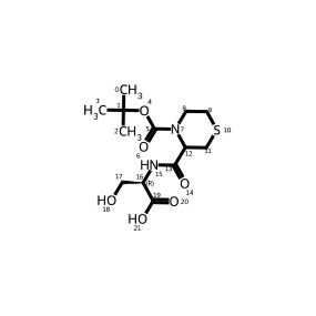 CC(C)(C)OC(=O)N1CCSCC1C(=O)N[C@H](CO)C(=O)O